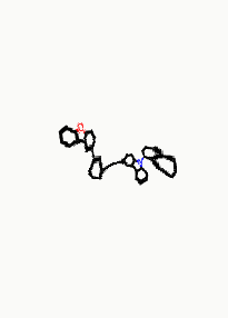 c1cc(-c2ccc3oc4ccccc4c3c2)cc(-c2ccc3c(c2)c2ccccc2n3-c2cccc3ccccc23)c1